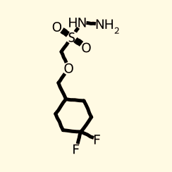 NNS(=O)(=O)COCC1CCC(F)(F)CC1